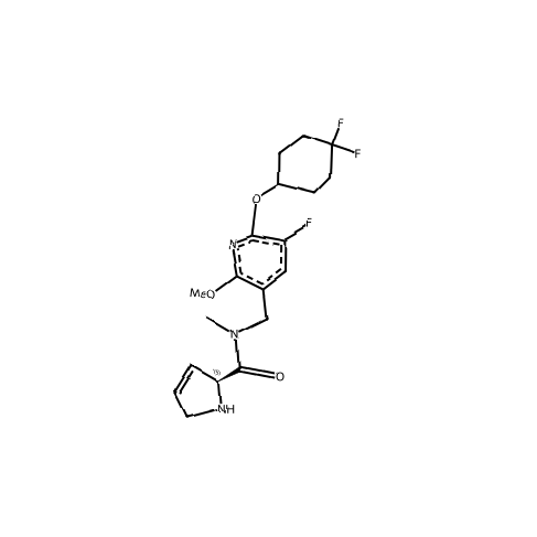 COc1nc(OC2CCC(F)(F)CC2)c(F)cc1CN(C)C(=O)[C@@H]1C=CCN1